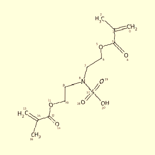 C=C(C)C(=O)OCCN(CCOC(=O)C(=C)C)S(=O)(=O)O